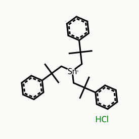 CC(C)([CH2][Sn]([CH2]C(C)(C)c1ccccc1)[CH2]C(C)(C)c1ccccc1)c1ccccc1.Cl